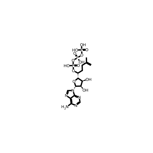 C=C(C)CCC(OP(=O)(O)OP(=O)(O)OP(=O)(O)O)[C@H]1O[C@@H](n2cnc3c(N)ncnc32)[C@H](O)[C@@H]1O